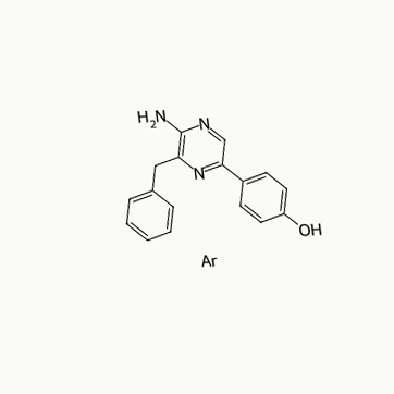 Nc1ncc(-c2ccc(O)cc2)nc1Cc1ccccc1.[Ar]